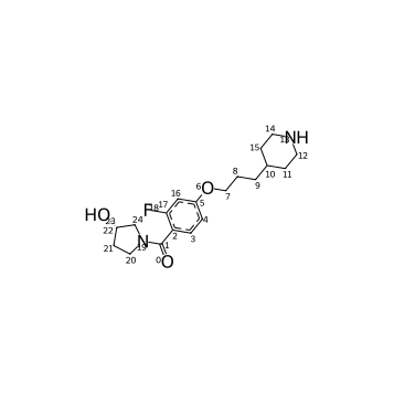 O=C(c1ccc(OCCCC2CCNCC2)cc1F)N1CC[C@H](O)C1